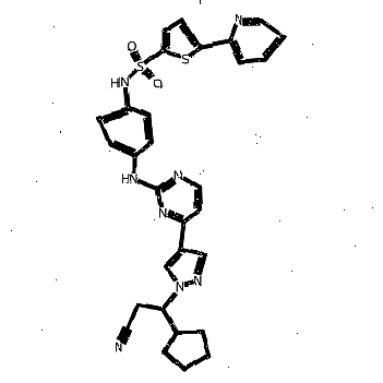 N#CCC(C1CCCC1)n1cc(-c2ccnc(Nc3ccc(NS(=O)(=O)c4ccc(-c5ccccn5)s4)cc3)n2)cn1